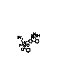 CC(C)CCc1c(F)n(C(=O)c2ccccc2)c(=O)n1Cc1ccc(-c2ccccc2-c2nnn[nH]2)cc1